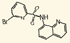 O=S(=O)(Nc1cccc2cccnc12)c1cccc(Br)n1